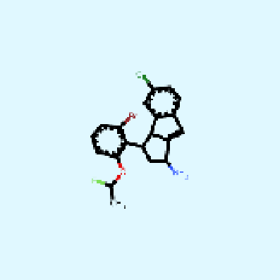 CC(F)Oc1cccc(Br)c1C1CC(N)C2=Cc3ccc(Cl)cc3C21